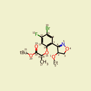 CCOC1CON=C1c1cc(Br)c(F)cc1O[C@@H](C)C(=O)OC(C)(C)C